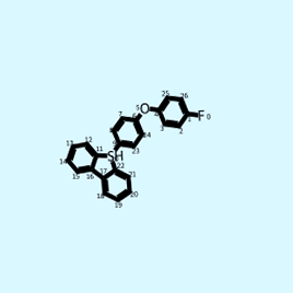 Fc1ccc(Oc2ccc([SH]3c4ccccc4-c4ccccc43)cc2)cc1